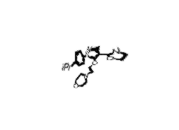 CC(C)c1ccc(-n2ncc(C3=NCCO3)c2OCCN2CCOCC2)cc1